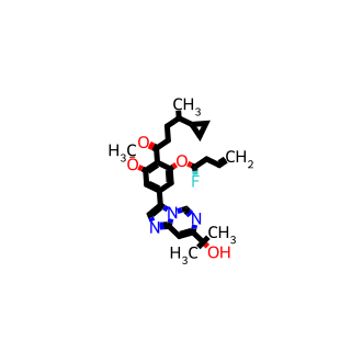 C=CCC(F)Oc1cc(-c2cnc3cc(C(C)(C)O)ncn23)cc(OC)c1C(=O)CCC(C)C1CC1